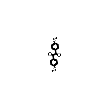 CSc1ccc(C(=O)C(=O)c2ccc(SC)cc2)cc1